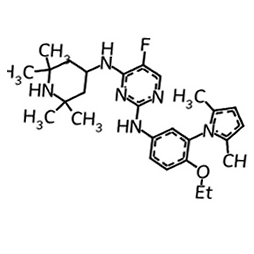 CCOc1ccc(Nc2ncc(F)c(NC3CC(C)(C)NC(C)(C)C3)n2)cc1-n1c(C)ccc1C